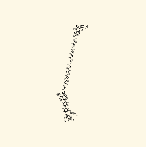 CCCN(OCC)C(=O)C1=Cc2ccc(-c3ccc(C(=O)N4CC[C@H](O)C4C(=O)NCCOCCOCCOCCOCCOCCOCCOCCOCCOCCOCCC(=O)Oc4c(F)c(F)c(S(=O)(=O)O)c(F)c4F)cc3)cc2N=C(N)C1